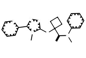 CN(C(=O)C1(Sc2nnc(-c3ccccn3)n2C)CCC1)c1ccccc1